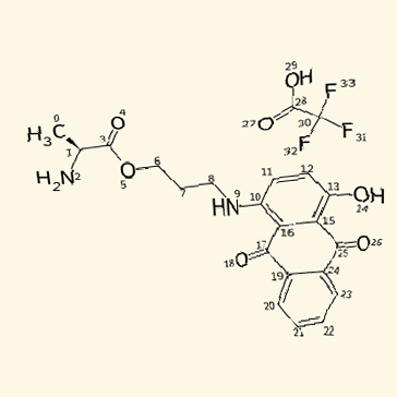 C[C@H](N)C(=O)OCCCNc1ccc(O)c2c1C(=O)c1ccccc1C2=O.O=C(O)C(F)(F)F